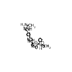 COC(=O)N[C@@H](C(=O)N1CCC[C@H]1c1ncc(-c2ccc(-c3ccc(-c4cnc([C@H](C)N)[nH]4)cc3)nn2)[nH]1)c1ccccc1